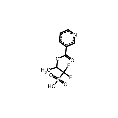 CC(OC(=O)c1cccnc1)C(F)(F)S(=O)(=O)O